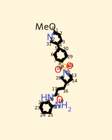 COc1ccc(-c2ccc(S(=O)(=O)n3ccc(C=CC(=O)Nc4ccccc4N)c3)cc2)cn1